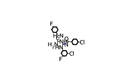 NC(CC(N)c1ccc(F)cc1)N/C(=N\C(=O)c1ccc(Cl)cc1)Nc1cc(F)cc(Cl)c1